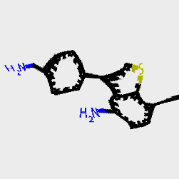 Cc1ccc(N)c2c(-c3ccc(N)cc3)csc12